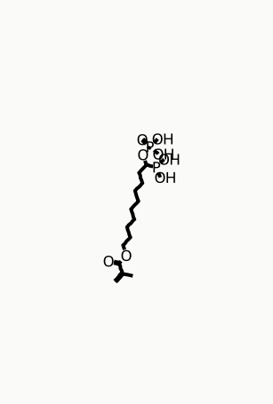 C=C(C)C(=O)OCCCCCCCCCC(OP(=O)(O)O)P(O)O